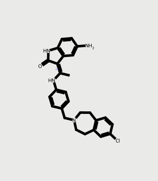 C/C(Nc1ccc(CN2CCc3ccc(Cl)cc3CC2)cc1)=C1/C(=O)Nc2ccc(N)cc21